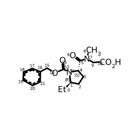 CC[C@@H]1CC[C@@H](C(=O)N(C)CC(=O)O)N1C(=O)OCc1ccccc1